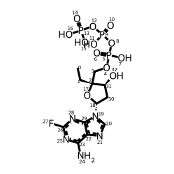 CC[C@]1(COP(=O)(O)OP(=O)(O)OP(=O)(O)O)O[C@@H](n2cnc3c(N)nc(F)nc32)C[C@@H]1O